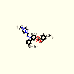 CC(=O)Nc1ccc2c(c1)c1c(n2CCN2CCN(C)CC2)CCC(OS(=O)(=O)c2ccc(C)cc2)C1